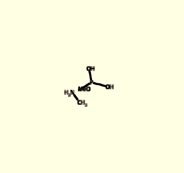 CN.COP(O)O